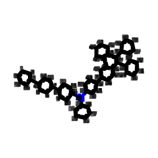 c1ccc(-c2ccc(-c3ccc(N(c4ccccc4)c4ccc(-c5ccc6c(-c7ccccc7)c(-c7ccccc7)c7ccccc7c6c5)cc4)cc3)cc2)cc1